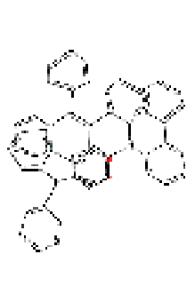 c1ccc(C(=C(c2ccccc2)c2ccccc2N(c2ccc3c(c2)c2ccccc2n3-c2ccccc2)c2ccccc2-c2ccccc2)c2ccccc2)cc1